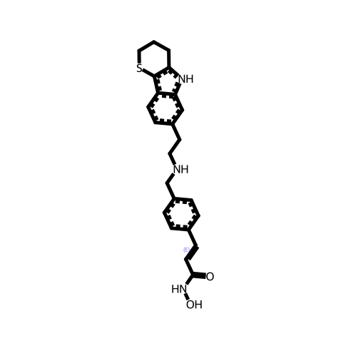 O=C(/C=C/c1ccc(CNCCc2ccc3c4c([nH]c3c2)CCCS4)cc1)NO